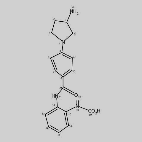 NC1CCN(c2ccc(C(=O)Nc3ccccc3NC(=O)O)cc2)C1